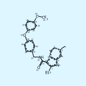 CCc1nc2cc(C)ccn2c1C(=O)NCc1ccc(Oc2ccc(OC(F)(F)F)cc2)cc1